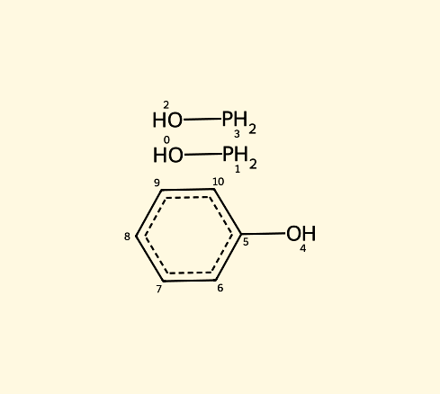 OP.OP.Oc1ccccc1